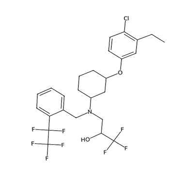 CCc1cc(OC2CCCC(N(Cc3ccccc3C(F)(F)C(F)(F)F)CC(O)C(F)(F)F)C2)ccc1Cl